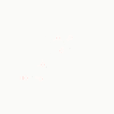 O=C(O)COc1cccc(OS(=O)(=O)c2ccccc2)c1